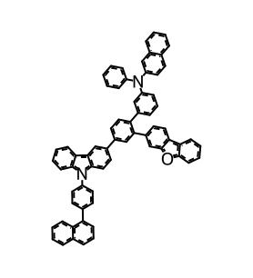 c1ccc(N(c2cccc(-c3ccc(-c4ccc5c(c4)c4ccccc4n5-c4ccc(-c5cccc6ccccc56)cc4)cc3-c3ccc4c(c3)oc3ccccc34)c2)c2ccc3ccccc3c2)cc1